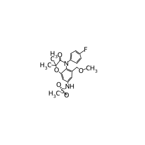 COCc1cc(NS(C)(=O)=O)cc2c1N(c1ccc(F)cc1)C(=O)C(C)(C)O2